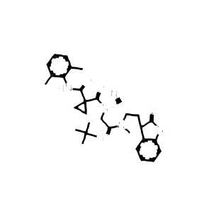 Cc1cccc(C)c1NC(=O)C1(C(=O)N[C@@H](CC(C)(C)C)C(=O)N2C[C@]3(C[C@H]2C#N)C(=O)Nc2ccccc23)CC1